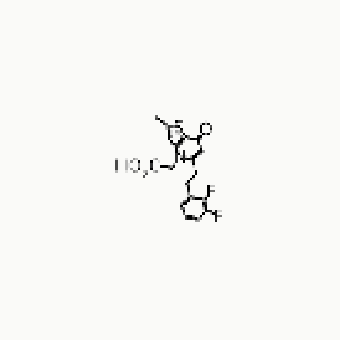 Cc1cc2c(s1)c(=O)cc(CCc1cccc(F)c1F)n2CC(=O)O